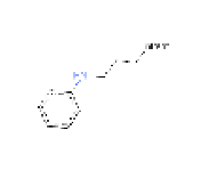 CCCCCCCCNc1ccccc1